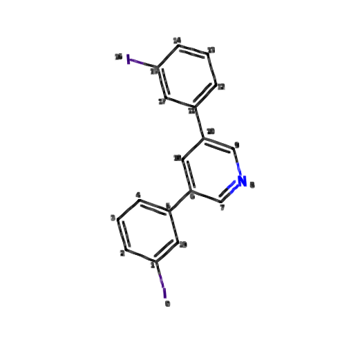 Ic1cccc(-c2cncc(-c3cccc(I)c3)c2)c1